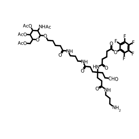 CC(=O)NC1C(OCCCCC(=O)NCCCNC(=O)CCC(CCC=O)(CCC(=O)NCCCN)NC(=O)CCCC(=O)Oc2c(F)c(F)c(F)c(F)c2F)OC(COC(C)=O)C(OC(C)=O)C1OC(C)=O